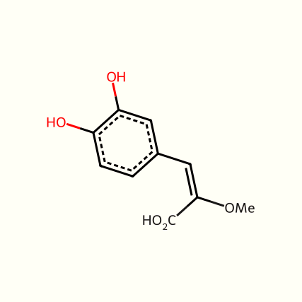 COC(=Cc1ccc(O)c(O)c1)C(=O)O